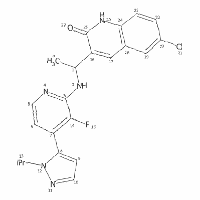 CC(Nc1nccc(-c2ccnn2C(C)C)c1F)c1cc2cc(Cl)ccc2[nH]c1=O